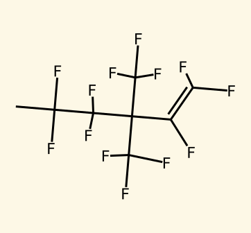 CC(F)(F)C(F)(F)C(C(F)=C(F)F)(C(F)(F)F)C(F)(F)F